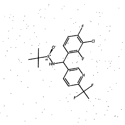 CC(F)(F)c1ccc(C(N[S@+]([O-])C(C)(C)C)c2ccc(F)c(Cl)c2F)cn1